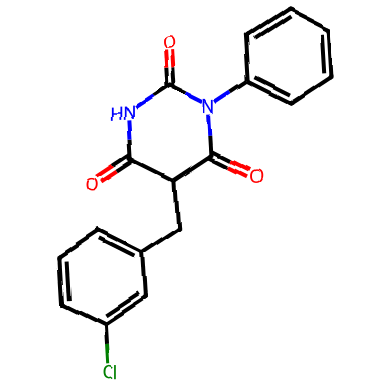 O=C1NC(=O)N(c2ccccc2)C(=O)C1Cc1cccc(Cl)c1